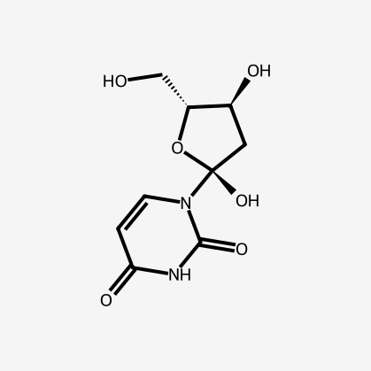 O=c1ccn([C@@]2(O)C[C@H](O)[C@@H](CO)O2)c(=O)[nH]1